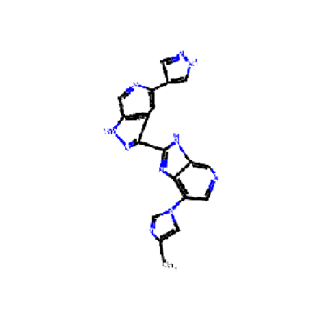 Cc1cn(-c2cncc3[nH]c(-c4n[nH]c5cnc(-c6cn[nH]c6)cc45)nc23)cn1